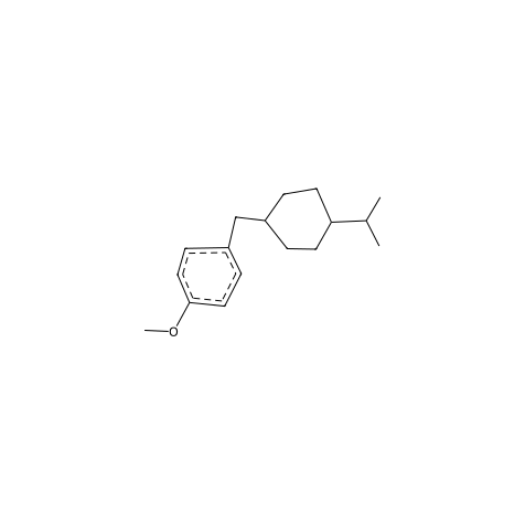 COc1ccc(CC2CCC(C(C)C)CC2)cc1